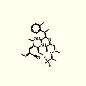 C=C/C(CN(C)/N=C(\C)C(F)(F)F)=N\C(C(=O)NC(=C\C)/C(=C\C(C#N)=C/C)C(C)=O)=C(/C)c1ccccc1C